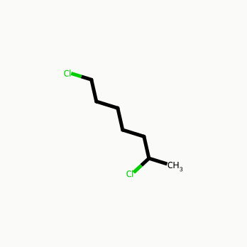 CC(Cl)CCCCCCl